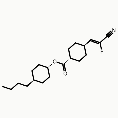 CCCC[C@H]1CC[C@H](OC(=O)[C@H]2CC[C@H](C=C(F)C#N)CC2)CC1